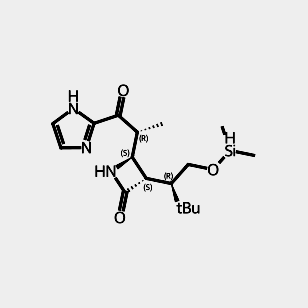 C[C@@H](C(=O)c1ncc[nH]1)[C@@H]1NC(=O)[C@H]1[C@@H](CO[SiH](C)C)C(C)(C)C